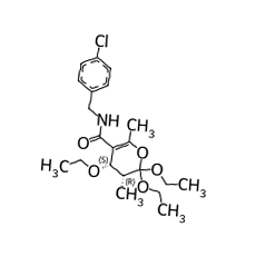 CCO[C@@H]1C(C(=O)NCc2ccc(Cl)cc2)=C(C)OC(OCC)(OCC)[C@@H]1C